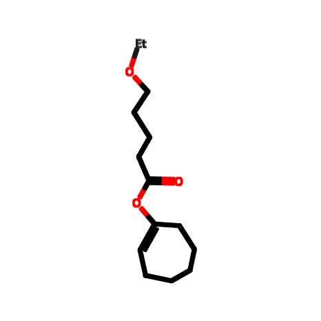 CCOCCCCC(=O)OC1=CCCCCC1